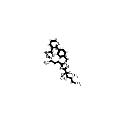 CCCCc1nc(C(CCCC)(OC)OC)nn1Cc1ccc(-c2ncccc2-c2nnn[nH]2)cc1